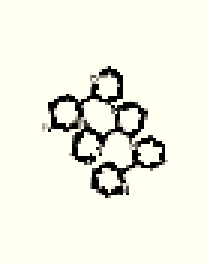 [Fe].c1ccc(-c2ccccn2)nc1.c1ccc(-c2ccccn2)nc1.c1ccc(-c2ccccn2)nc1